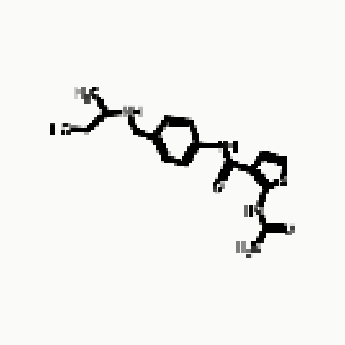 CC(CO)NCc1ccc(NC(=O)c2ccsc2NC(N)=O)cc1